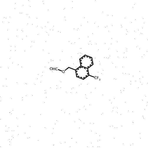 O=[C]OCc1ccc(C(F)(F)F)c2ccccc12